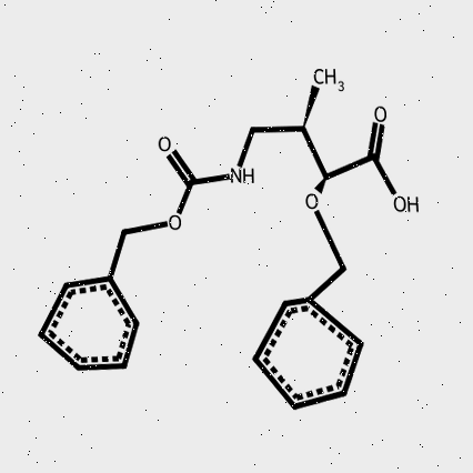 C[C@H](CNC(=O)OCc1ccccc1)[C@H](OCc1ccccc1)C(=O)O